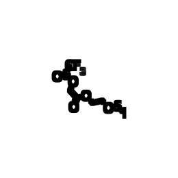 O=C(COS(=O)C(F)(F)F)OCCOSI